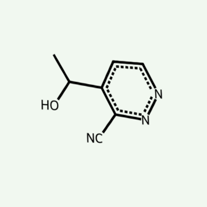 CC(O)c1ccnnc1C#N